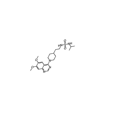 COc1cc2ncnc(N3CCC(CCNS(=O)(=O)NC(C)C)CC3)c2cc1OC